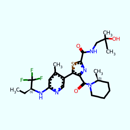 CC[C@H](Nc1cc(C)c(-c2sc(C(=O)NCC(C)(C)O)nc2C(=O)N2CCCC[C@@H]2C)cn1)C(F)(F)F